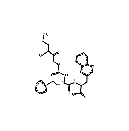 CCC[C@H](N)C(=O)NNC(=O)N[C@@H](CCc1ccccc1)C(=O)N[C@@H](Cc1ccc2ccccc2c1)C(N)=O